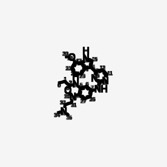 CCC(=O)Nc1cc(Nc2nccc(-c3c[nH]c4c(OC)cccc34)n2)ccc1N(C)CCN(C)C